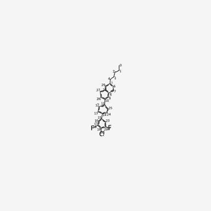 CCCCCc1ccc2cc(-c3ccc(-c4cc(F)c(Cl)c(F)c4)cc3)ccc2c1